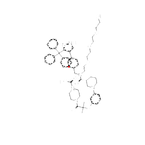 CC(C)(Oc1cccc(N2CCC[C@H](C(=O)N(CCOCCOCCOCCO)Cc3ccc(-c4c[nH]nc4C(c4ccccc4)(c4ccccc4)c4ccccc4)cc3)C2)c1)C(=O)N1CCN(C(=O)O)CC1